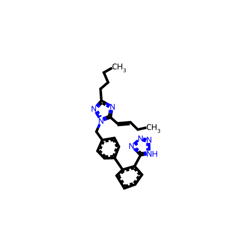 CCC=Cc1nc(CCCC)nn1Cc1ccc(-c2ccccc2-c2nnn[nH]2)cc1